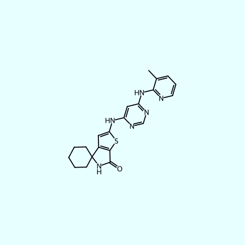 Cc1cccnc1Nc1cc(Nc2cc3c(s2)C(=O)NC32CCCCC2)ncn1